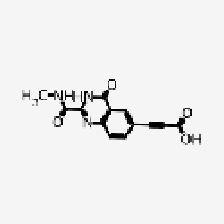 CNC(=O)c1nc2ccc(C#CC(=O)O)cc2c(=O)[nH]1